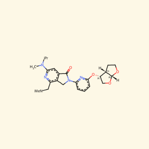 CNCc1nc(N(C)C(C)C)cc2c1CN(c1cccc(O[C@H]3CO[C@H]4OCC[C@H]43)n1)C2=O